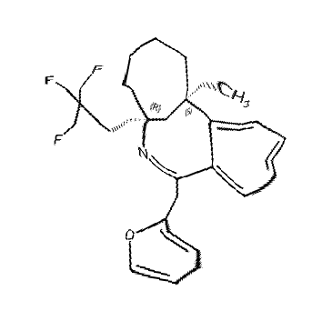 C[C@@]12CCCC[C@]1(CC(F)(F)F)N=C(c1ccco1)c1ccccc12